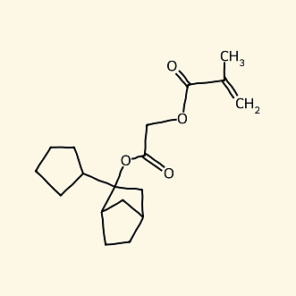 C=C(C)C(=O)OCC(=O)OC1(C2CCCC2)CC2CCC1C2